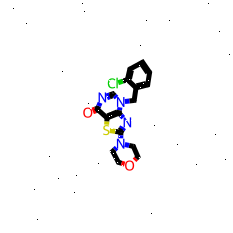 O=c1ncn(Cc2ccccc2Cl)c2nc(N3CCOCC3)sc12